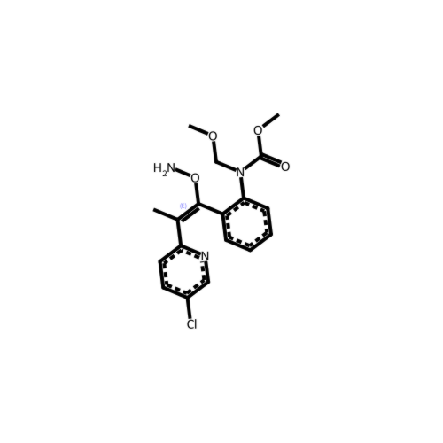 COCN(C(=O)OC)c1ccccc1/C(ON)=C(/C)c1ccc(Cl)cn1